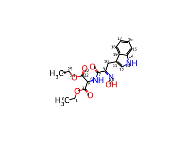 CCOC(=O)C(NC(=O)C(Cc1c[nH]c2ccccc12)=NO)C(=O)OCC